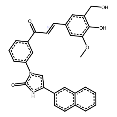 COc1cc(/C=C/C(=O)c2cccc(-n3cc(-c4ccc5ccccc5c4)[nH]c3=O)c2)cc(CO)c1O